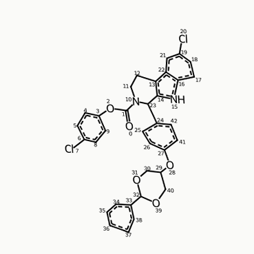 O=C(Oc1ccc(Cl)cc1)N1CCc2c([nH]c3ccc(Cl)cc23)C1c1ccc(OC2COC(c3ccccc3)OC2)cc1